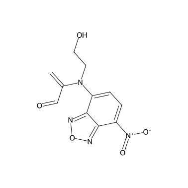 C=C(C=O)N(CCO)c1ccc([N+](=O)[O-])c2nonc12